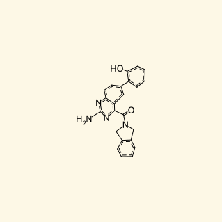 Nc1nc(C(=O)N2Cc3ccccc3C2)c2cc(-c3ccccc3O)ccc2n1